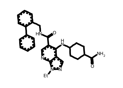 CCn1ncc2c(NC3CCC(C(N)=O)CC3)c(C(=O)NCc3ccccc3-c3ccccc3)cnc21